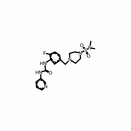 CN(C)S(=O)(=O)N1CCN(Cc2ccc(F)c(NC(=O)Nc3cccnc3)c2)CC1